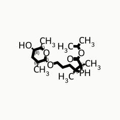 CC(C)OC(=O)[C@]1(C)P[C@]1(C)CCCO[C@@H]1O[C@@H](C)[C@H](O)C[C@H]1C